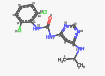 CC(C)Nc1cc(NC(=O)Nc2c(Cl)cccc2Cl)ncn1